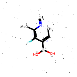 C=N/C(OC)=C(F)\C(=C/C)B(O)O